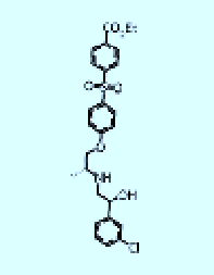 CCOC(=O)c1ccc(S(=O)(=O)c2ccc(OC[C@@H](C)NC[C@@H](O)c3cccc(Cl)c3)cc2)cc1